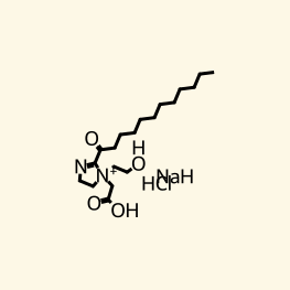 CCCCCCCCCCCC(=O)C1=NCC[N+]1(CCO)CC(=O)O.Cl.[NaH]